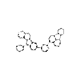 c1ccc(-n2c3ccc(-c4cccc(-c5ccc6c7c(cccc57)-c5ccccc5-6)c4)cc3c3ccc4cnccc4c32)cc1